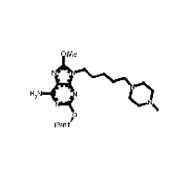 CCC[C@H](C)Oc1nc(N)c2nc(OC)n(CCCCCN3CCN(C)CC3)c2n1